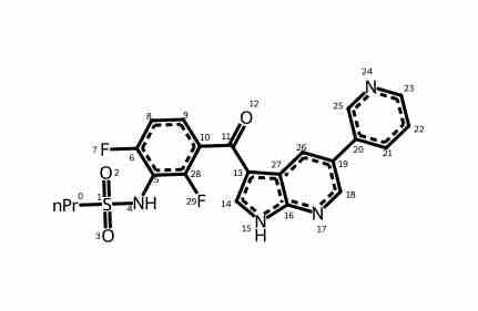 CCCS(=O)(=O)Nc1c(F)ccc(C(=O)c2c[nH]c3ncc(-c4cccnc4)cc23)c1F